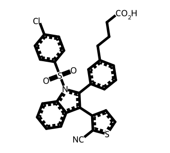 N#Cc1sccc1-c1c(-c2cccc(CCCC(=O)O)c2)n(S(=O)(=O)c2ccc(Cl)cc2)c2ccccc12